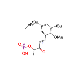 CCCC.COc1c(/C=C/C(=O)C(C)O[PH](=O)O)cc(C(C)(C)C)cc1C(C)(C)C